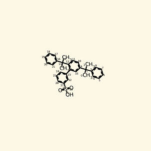 CC(C)(c1ccccc1)c1ccc(C(C)(C)c2ccccc2)c(-c2cccc(S(=O)(=O)O)c2)c1